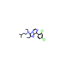 CCc1nc2c(-c3ccc(Cl)cc3Cl)nccn2c1N(CC)CCC(C)C